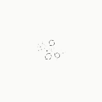 CC(C)NC(C(=O)N[C@](Cc1ccccc1)(c1ccc(F)cc1)c1cc(F)cc(C(F)(F)F)c1)C(O)(C(F)(F)F)C(F)(F)F